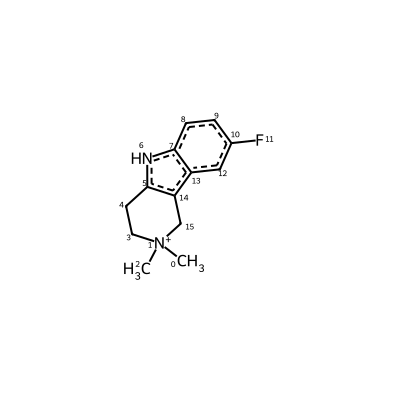 C[N+]1(C)CCc2[nH]c3ccc(F)cc3c2C1